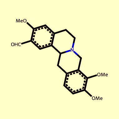 COc1cc2c(cc1C=O)C1Cc3ccc(OC)c(OC)c3CN1CC2